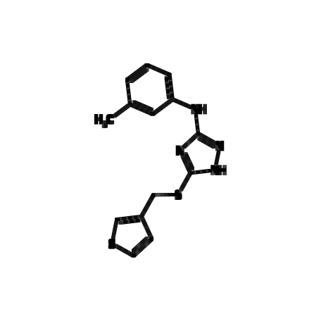 Cc1cccc(Nc2n[nH]c(SCc3ccsc3)n2)c1